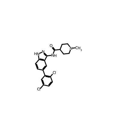 CN1CCC(C(=O)Nc2n[nH]c3ccc(-c4cc(Cl)ccc4Cl)cc23)CC1